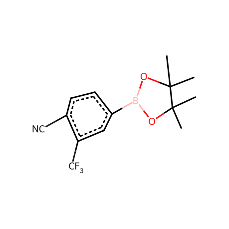 CC1(C)OB(c2ccc(C#N)c(C(F)(F)F)c2)OC1(C)C